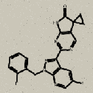 O=C1Nc2nc(-c3nn(Cc4ccccc4F)c4ncc(F)cc34)ncc2C12CC2